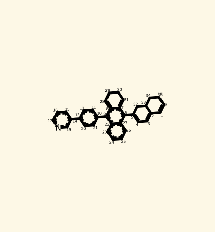 C1=CC2=CC=C(c3c4c(c(-c5ccc(-c6cccnc6)cc5)c5ccccc35)=CCCC=4)CC2CC1